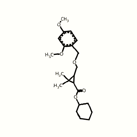 COc1ccc(COCC2C(C(=O)OC3CCCCC3)C2(C)C)c(OC)c1